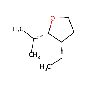 CC[C@H]1CCO[C@H]1C(C)C